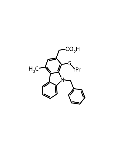 Cc1cc(CC(=O)O)c(SC(C)C)c2c1c1ccccc1n2Cc1ccccc1